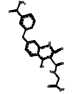 NC(=O)c1cccc(Cc2ccc3c(O)c(C(=O)NCC(=O)O)c(=O)[nH]c3c2)c1